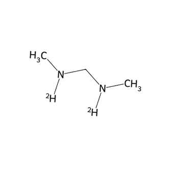 [2H]N(C)CN([2H])C